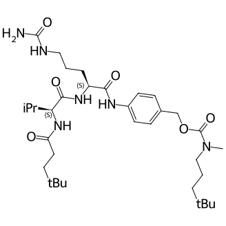 CC(C)[C@H](NC(=O)CCC(C)(C)C)C(=O)N[C@@H](CCCNC(N)=O)C(=O)Nc1ccc(COC(=O)N(C)CCCC(C)(C)C)cc1